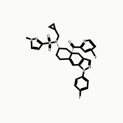 Cn1ccc(S(=O)(=O)N(CC2CC2)[C@H]2CCC3=Cc4c(cnn4-c4ccc(F)cc4)C[C@]3(C(=O)c3cc(F)ccn3)C2)n1